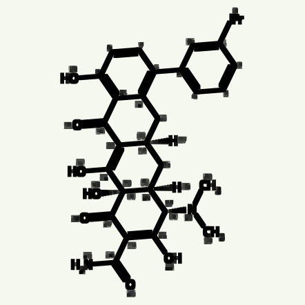 CC(C)c1cccc(-c2ccc(O)c3c2C[C@H]2C[C@H]4[C@H](N(C)C)C(O)=C(C(N)=O)C(=O)[C@@]4(O)C(O)=C2C3=O)c1